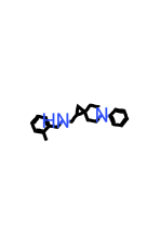 Cc1ccccc1CNCC1CC12CCN(c1ccccc1)CC2